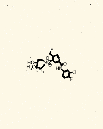 CC1(C)CCN(S(=O)(=O)c2cc(C(=O)Nc3ccc(F)c(Cl)c3)ccc2CF)CCC1O